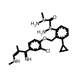 CN/C=C(/C)C(=N)c1ccc(OCc2c(C3CC3)cccc2N(N)C(=O)N(C)N)c(Cl)c1